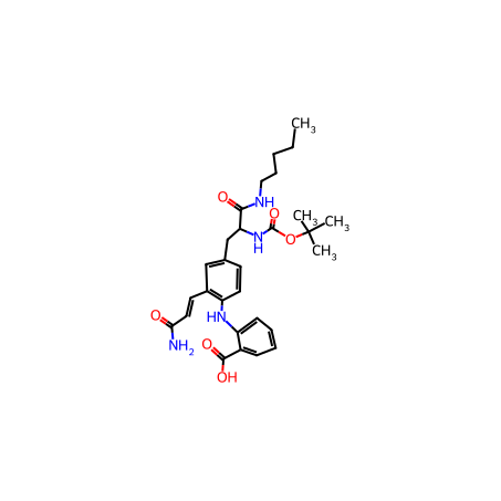 CCCCCNC(=O)C(Cc1ccc(Nc2ccccc2C(=O)O)c(/C=C/C(N)=O)c1)NC(=O)OC(C)(C)C